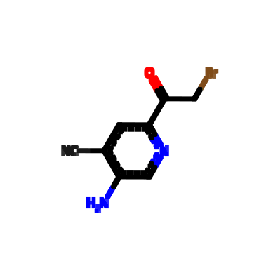 N#Cc1cc(C(=O)CBr)ncc1N